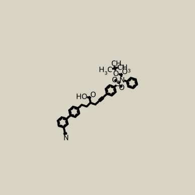 CC(C)(C)OC(=O)N(c1ccccc1)S(=O)(=O)c1ccc(C#CCC(CCc2ccc(-c3cccc(C#N)c3)cc2)C(=O)O)cc1